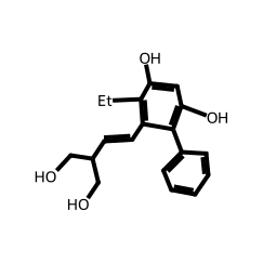 CCc1c(O)cc(O)c(-c2ccccc2)c1C=CC(CO)CO